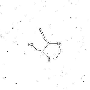 O=C=C1NCCNC1CO